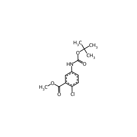 COC(=O)c1cc(NC(=O)OC(C)(C)C)ccc1Cl